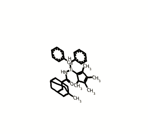 CC1=C(C)C(C)[C]([Ti]([NH]C(=O)C23CC4CC(CC(C)(C4)C2)C3)[GeH]([c]2ccccc2)[c]2ccccc2)=C1C